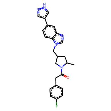 CC1CC(Cn2cnc3cc(-c4cn[nH]c4)ccc32)CN1C(=O)Cc1ccc(F)cc1